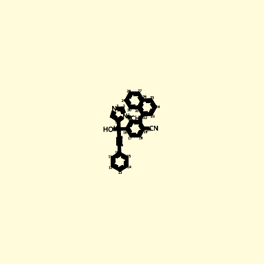 Cn1cncc1C(O)(C#Cc1ccccc1)c1ccc(C#N)c(-c2cccc3ccccc23)c1